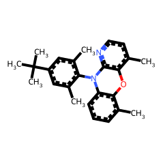 Cc1cccc2c1Oc1c(C)ccnc1N2c1c(C)cc(C(C)(C)C)cc1C